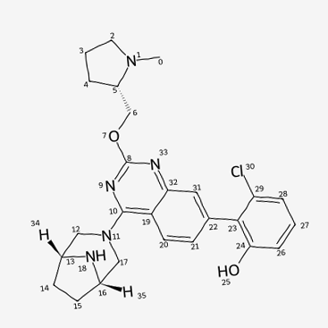 CN1CCC[C@H]1COc1nc(N2C[C@H]3CC[C@@H](C2)N3)c2ccc(-c3c(O)cccc3Cl)cc2n1